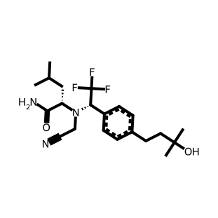 CC(C)C[C@@H](C(N)=O)N(CC#N)[C@@H](c1ccc(CCC(C)(C)O)cc1)C(F)(F)F